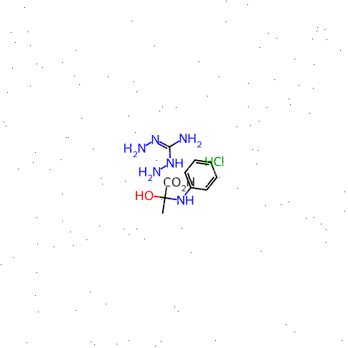 CC(O)(Nc1ccccc1)C(=O)O.Cl.NN=C(N)NN